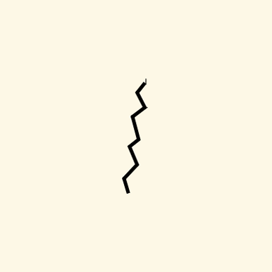 CCCCCC[CH]CI